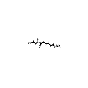 CC(C)CCNC(=O)CCCCCO[N+](=O)[O-]